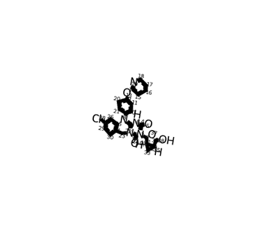 [2H][C@@]1(Cn2c(=O)[nH]c(=Nc3ccc(Oc4ccccn4)cc3)n(Cc3ccc(Cl)cc3)c2=O)C[C@@]1([2H])C(=O)O